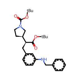 CC(C)(C)OC(=O)[C@@H](Cc1cccc(NCc2ccccc2)c1)[C@H]1CCN(C(=O)OC(C)(C)C)C1